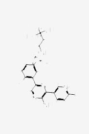 Cc1ccc(S(=O)(=O)NCCC(C)(C)O)cc1-c1cnc(N)c(-c2ccc(F)nc2)n1